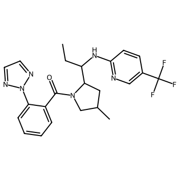 CCC(Nc1ccc(C(F)(F)F)cn1)C1CC(C)CN1C(=O)c1ccccc1-n1nccn1